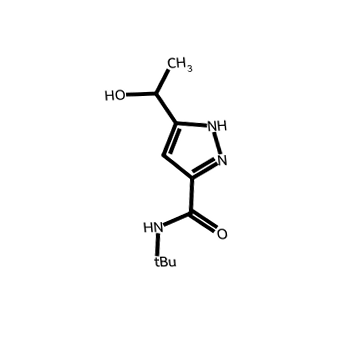 CC(O)c1cc(C(=O)NC(C)(C)C)n[nH]1